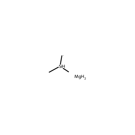 [CH2][SiH](C)C.[MgH2]